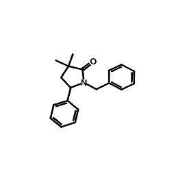 CC1(C)CC(c2ccccc2)N(Cc2ccccc2)C1=O